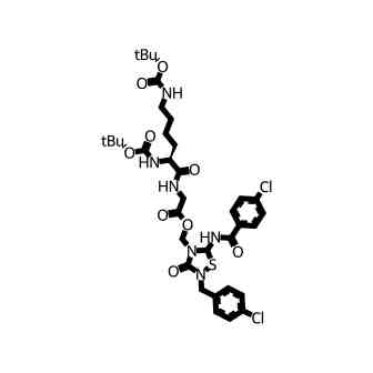 CC(C)(C)OC(=O)NCCCC[C@H](NC(=O)OC(C)(C)C)C(=O)NCC(=O)OCN1C(=O)N(Cc2ccc(Cl)cc2)SC1NC(=O)c1ccc(Cl)cc1